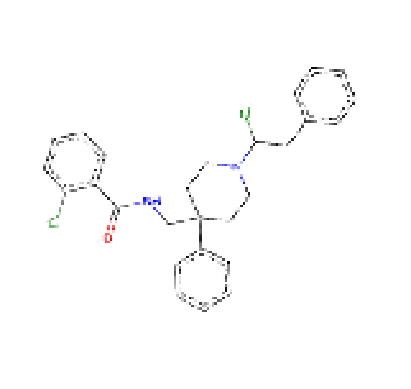 O=C(NCC1(c2ccccc2)CCN(C(Cl)Cc2ccccc2)CC1)c1ccccc1Cl